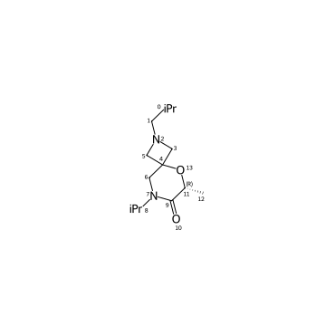 CC(C)CN1CC2(C1)CN(C(C)C)C(=O)[C@@H](C)O2